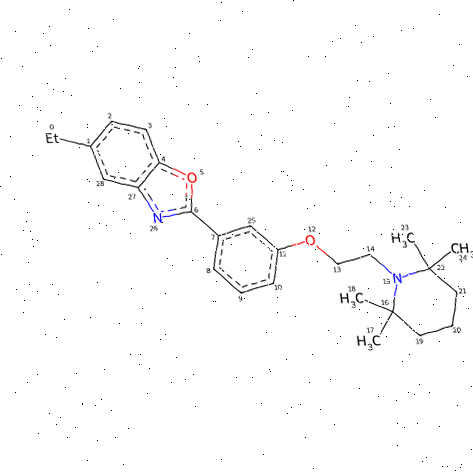 CCc1[c]cc2oc(-c3cccc(OCCN4C(C)(C)CCCC4(C)C)c3)nc2c1